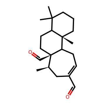 C[C@@H]1CC(C=O)=CCC2[C@@]3(C)CCCC(C)(C)C3CC[C@]21C=O